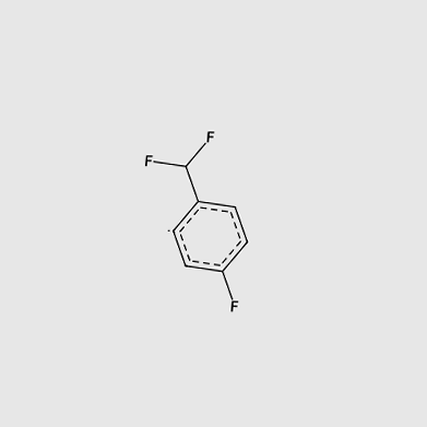 Fc1c[c]c(C(F)F)cc1